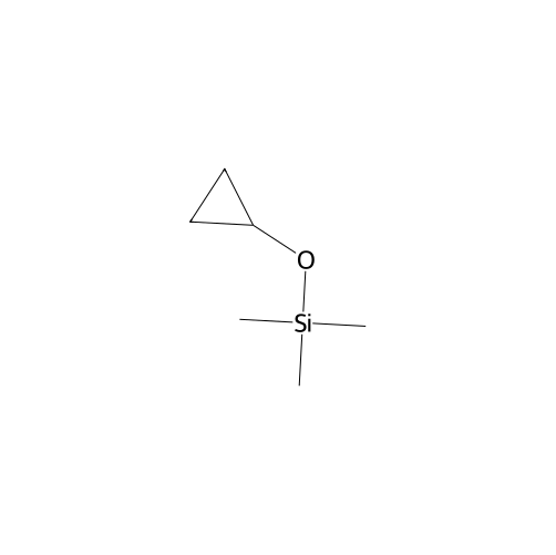 C[Si](C)(C)OC1CC1